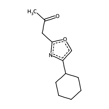 CC(=O)Cc1nc(C2CCCCC2)co1